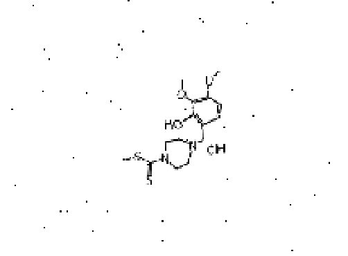 COc1ccc(CN2CCN(C(=S)SC)CC2)c(O)c1OC.Cl